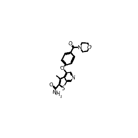 Cc1c(C(N)=O)sc2cncc(Oc3ccc(C(=O)N4CCOCC4)cc3)c12